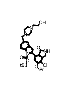 CC(C)Oc1cc(-c2cc3cc(CN4CCN(CCO)CC4)ccc3n2C(=O)OC(C)(C)C)c2c(c1Cl)CNC2=O